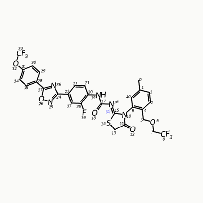 Cc1ccc(COCC(F)(F)F)c(N2C(=O)CS/C2=N\C(=O)Nc2ccc(-c3noc(-c4ccc(OC(F)(F)F)cc4)n3)cc2F)c1